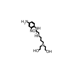 Nc1ccc(NCCNCCCN(CCO)CCO)c([N+](=O)[O-])c1